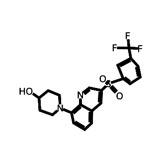 O=S(=O)(c1cccc(C(F)(F)F)c1)c1cnc2c(N3CCC(O)CC3)cccc2c1